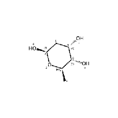 C[C@H]1O[C@@H](O)C[C@H](O)[C@@H]1O